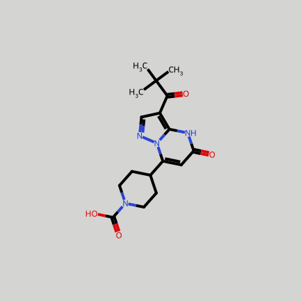 CC(C)(C)C(=O)c1cnn2c(C3CCN(C(=O)O)CC3)cc(=O)[nH]c12